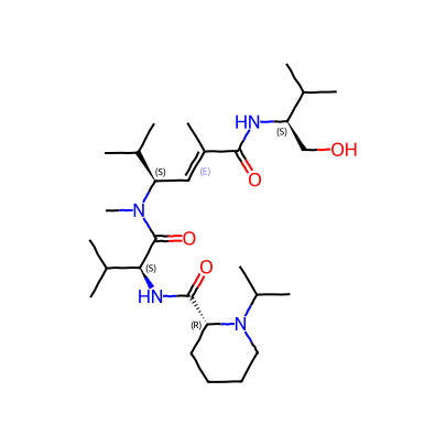 C/C(=C\[C@H](C(C)C)N(C)C(=O)[C@@H](NC(=O)[C@H]1CCCCN1C(C)C)C(C)C)C(=O)N[C@H](CO)C(C)C